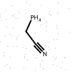 N#CC[PH4]